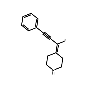 FC(C#Cc1ccccc1)=C1CCNCC1